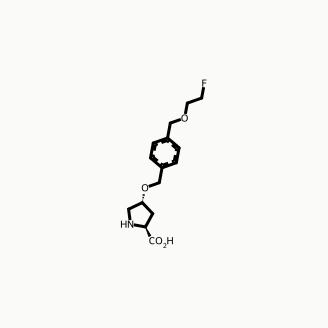 O=C(O)[C@@H]1C[C@@H](OCc2ccc(COCCF)cc2)CN1